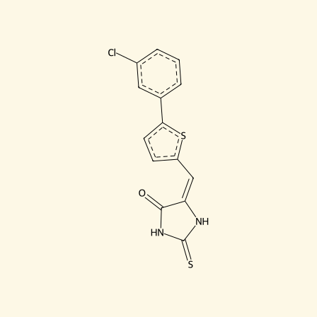 O=C1NC(=S)NC1=Cc1ccc(-c2cccc(Cl)c2)s1